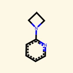 [CH]1CN(c2ccccn2)C1